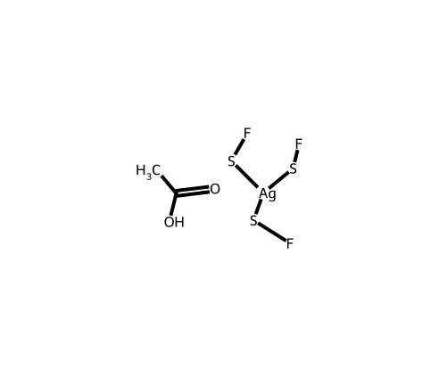 CC(=O)O.F[S][Ag]([S]F)[S]F